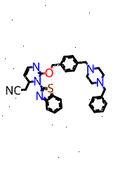 N#CCC1C=CN=C(OCc2ccc(CN3CCN(Cc4ccccc4)CC3)cc2)N1c1nc2ccccc2s1